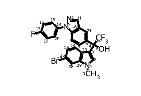 Cn1cc(C(O)(c2ccc3c(cnn3-c3ccc(F)cc3)c2)C(F)(F)F)c2ccc(Br)cc21